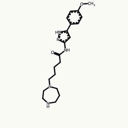 COc1ccc(-c2cc(NC(=O)CCCCN3CCCNCC3)n[nH]2)cc1